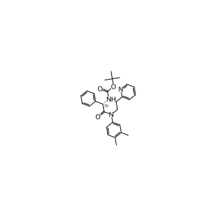 Cc1ccc(N(CCc2ccccn2)C(=O)[C@@H](NC(=O)OC(C)(C)C)c2ccccc2)cc1C